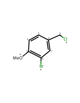 COc1ccc(CCl)cc1Br